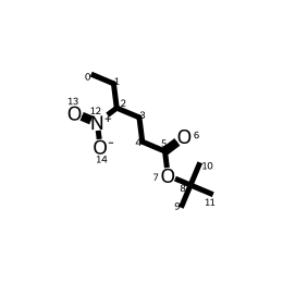 CCC(CCC(=O)OC(C)(C)C)[N+](=O)[O-]